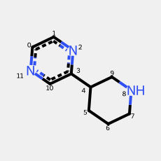 c1cnc(C2CCCNC2)cn1